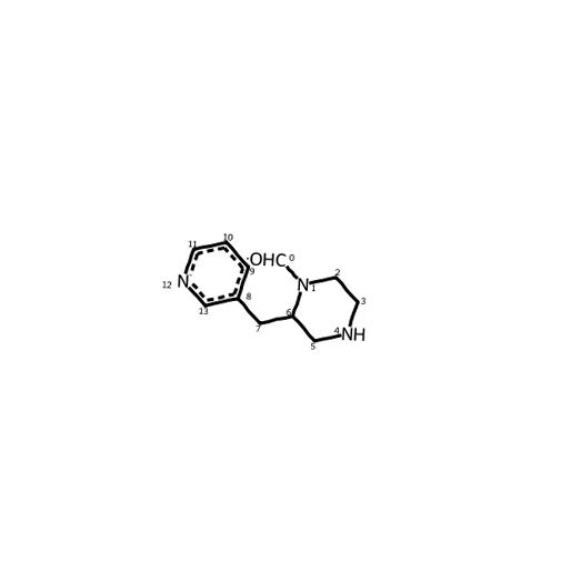 O=[C]N1CCNCC1Cc1cccnc1